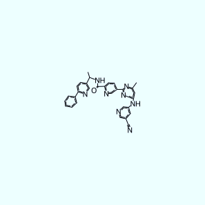 Cc1cc(Nc2cncc(C#N)c2)nc(-c2ccc(C(=O)NC(C)c3ccc(-c4ccccc4)nc3)nc2)n1